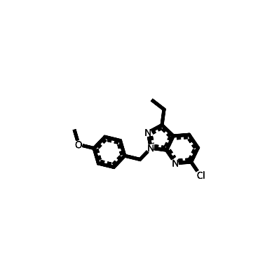 CCc1nn(Cc2ccc(OC)cc2)c2nc(Cl)ccc12